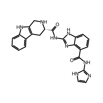 O=C(Nc1ncc[nH]1)c1cccc2[nH]c(NC(=O)[C@@H]3Cc4c([nH]c5ccccc45)CN3)nc12